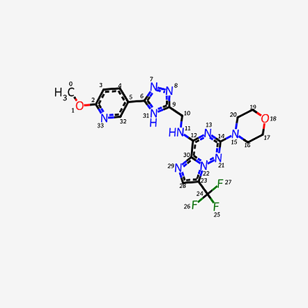 COc1ccc(-c2nnc(CNc3nc(N4CCOCC4)nn4c(C(F)(F)F)cnc34)[nH]2)cn1